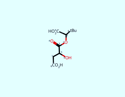 CC(C)(C)C(OC(=O)C(O)CC(=O)O)C(=O)O